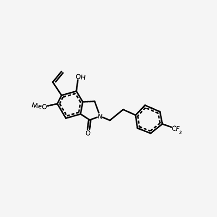 C=Cc1c(OC)cc2c(c1O)CN(CCc1ccc(C(F)(F)F)cc1)C2=O